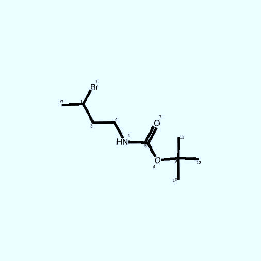 CC(Br)CCNC(=O)OC(C)(C)C